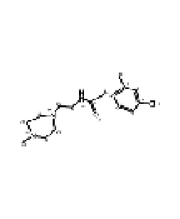 Cc1cc(Cl)ccc1CC(=O)NCCN1CCN(C)CC1